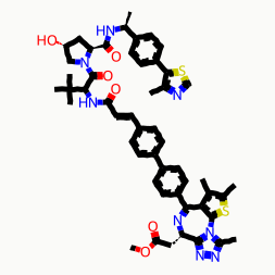 COC(=O)C[C@@H]1N=C(c2ccc(-c3ccc(/C=C/C(=O)NC(C(=O)N4C[C@H](O)C[C@H]4C(=O)N[C@@H](C)c4ccc(-c5scnc5C)cc4)C(C)(C)C)cc3)cc2)c2c(sc(C)c2C)-n2c(C)nnc21